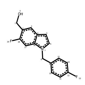 OCc1cc2ccn(Cc3ccc(F)cc3)c2cc1F